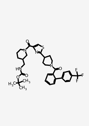 CC(C)(C)OC(=O)NCC1CCCN(C(=O)c2csc(C3CCN(C(=O)c4ccccc4-c4ccc(C(F)(F)F)cc4)CC3)n2)C1